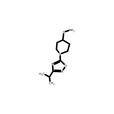 CC(C)c1noc(N2CCC(ON)CC2)n1